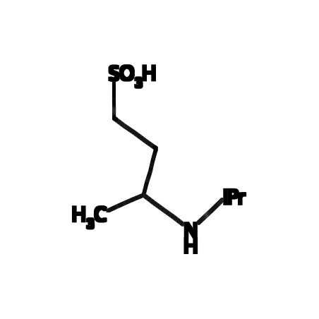 CC(C)NC(C)CCS(=O)(=O)O